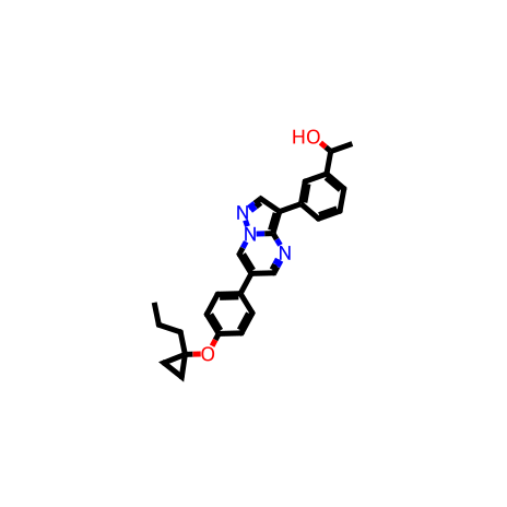 CCCC1(Oc2ccc(-c3cnc4c(-c5cccc(C(C)O)c5)cnn4c3)cc2)CC1